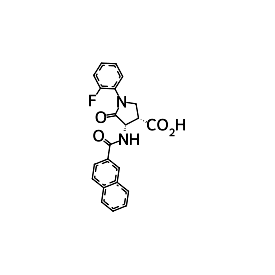 O=C(N[C@@H]1C(=O)N(c2ccccc2F)C[C@@H]1C(=O)O)c1ccc2ccccc2c1